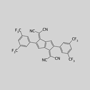 N#CC(C#N)=C1C(c2cc(C(F)(F)F)cc(C(F)(F)F)c2)=CC2=C1C=C(c1cc(C(F)(F)F)cc(C(F)(F)F)c1)C2=C(C#N)C#N